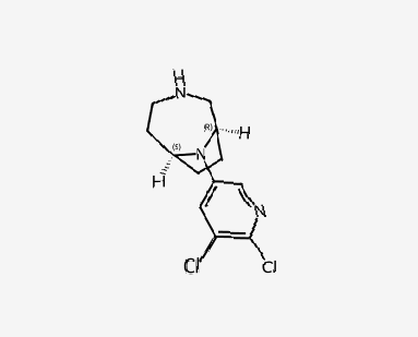 Clc1cc(N2[C@@H]3CCNC[C@H]2CC3)cnc1Cl